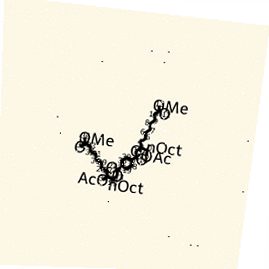 CCCCCCCCC(OC(C)=O)C(CCCCCCCC(=O)OC)OC(=O)c1ccc(C(=O)OC(CCCCCCCC)C(CCCCCCCC(=O)OC)OC(C)=O)cc1